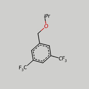 CC(C)OCc1cc(C(F)(F)F)cc(C(F)(F)F)c1